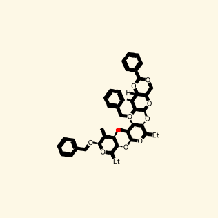 CCC1O[C@@H](OCc2ccccc2)C(C)[C@@H](C)[C@@H]1O[C@@H]1OC(CC)[C@@H](O[C@@H]2OC3COC(c4ccccc4)O[C@H]3[C@H](C)C2OCc2ccccc2)[C@H](C)C1C